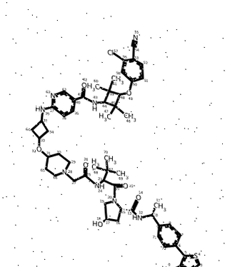 Cc1ncsc1-c1ccc([C@H](C)NC(=O)[C@@H]2C[C@@H](O)CN2C(=O)C(NC(=O)CN2CCC(OC3CC(Nc4ccc(C(=O)NC5C(C)(C)C(Oc6ccc(C#N)c(Cl)c6)C5(C)C)cn4)C3)CC2)C(C)(C)C)cc1